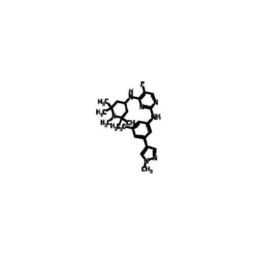 CN1C(C)(C)CC(Nc2nc(Nc3cc(-c4cnn(C)c4)cc(C(F)(F)F)c3)ncc2F)CC1(C)C